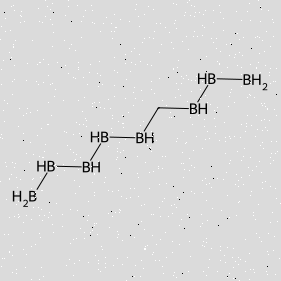 BBBBBCBBB